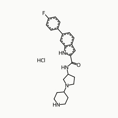 Cl.O=C(NC1CCN(C2CCNCC2)C1)c1cc2ccc(-c3ccc(F)cc3)cc2[nH]1